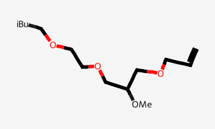 C=CCOCC(COCCOCC(C)CC)OC